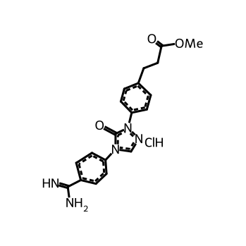 COC(=O)CCc1ccc(-n2ncn(-c3ccc(C(=N)N)cc3)c2=O)cc1.Cl